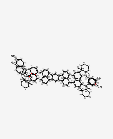 CC12CCCCC1(C)N(c1ccc(C#N)cc1)c1ccc(-c3ccc4c5cc6c(cc5c5ccc(-c7ccc8c(c7)C7(C)CCCCC7(C)N8c7ccc(C#N)cc7)c3c45)c3ccc(-c4ccc5c(c4)C4(C)CCCCC4(C)N5c4ccc(C#N)cc4)c4c(-c5ccc7c(c5)C5(C)CCCCC5(C)N7c5ccc(C#N)cc5)ccc6c43)cc12